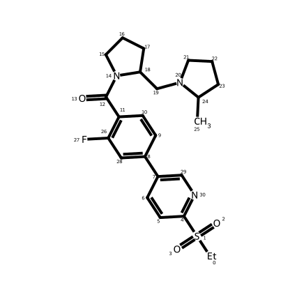 CCS(=O)(=O)c1ccc(-c2ccc(C(=O)N3CCCC3CN3CCCC3C)c(F)c2)cn1